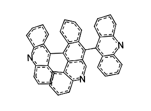 c1ccc2c(-c3c4ccccc4c(-c4c5ccccc5nc5ccccc45)c4c3cnc3ccccc34)c3ccccc3nc2c1